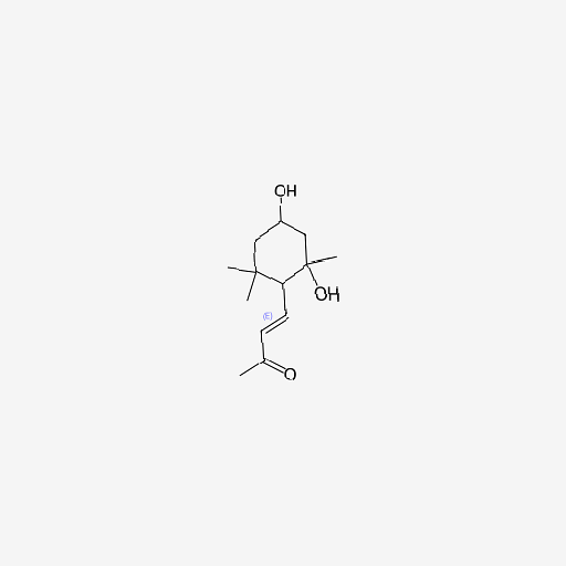 CC(=O)/C=C/C1C(C)(C)CC(O)CC1(C)O